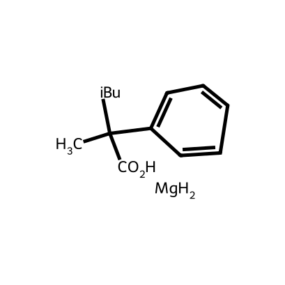 CCC(C)C(C)(C(=O)O)c1ccccc1.[MgH2]